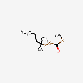 CCCSC(=O)SSC(C)(C#N)CCC(=O)O